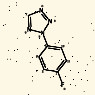 Fc1c[c]c(-n2ncnn2)cc1